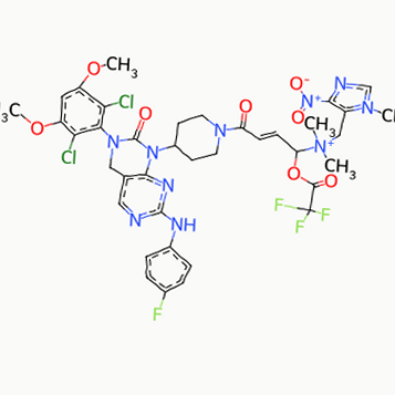 COc1cc(OC)c(Cl)c(N2Cc3cnc(Nc4ccc(F)cc4)nc3N(C3CCN(C(=O)/C=C/C(OC(=O)C(F)(F)F)[N+](C)(C)Cc4c([N+](=O)[O-])ncn4C)CC3)C2=O)c1Cl